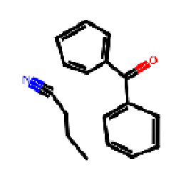 CCCC#N.O=C(c1ccccc1)c1ccccc1